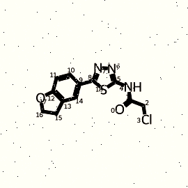 O=C(CCl)Nc1nnc(-c2ccc3c(c2)CCO3)s1